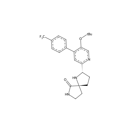 CC(C)(C)Oc1cnc([C@@H]2CC[C@]3(CCNC3=O)N2)cc1-c1ccc(C(F)(F)F)cc1